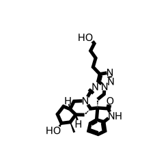 C[C@@H]1[C@H]2C[C@@H]([C@@]3(CCn4cc(CCCCO)nn4)C(=O)Nc4ccccc43)N(C#N)C[C@@H]2CC[C@@H]1O